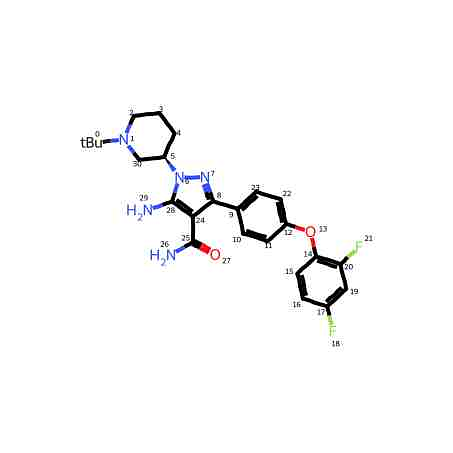 CC(C)(C)N1CCC[C@@H](n2nc(-c3ccc(Oc4ccc(F)cc4F)cc3)c(C(N)=O)c2N)C1